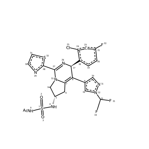 CC(=O)NS(=O)(=O)N[C@H]1CC2=C(c3cnn(C(F)F)c3)[C@H](c3ccc(F)cc3Cl)N=C(c3nccs3)N2C1